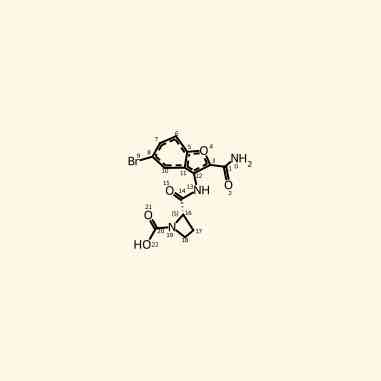 NC(=O)c1oc2ccc(Br)cc2c1NC(=O)[C@@H]1CCN1C(=O)O